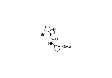 COc1cccc(NC(=O)Cn2cnc3cccc(Br)c32)c1